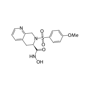 COc1ccc(S(=O)(=O)N2Cc3ncccc3C[C@@H]2C(=O)NO)cc1